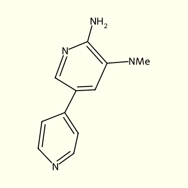 CNc1cc(-c2ccncc2)cnc1N